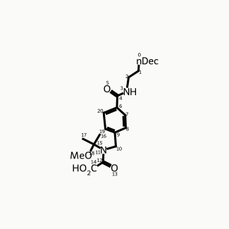 CCCCCCCCCCCCNC(=O)c1ccc(CN(C(=O)C(=O)O)C(C)(C)OC)cc1